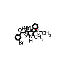 CCOC(=O)C1=C(C)Nc2sc(C(=O)c3cccc(Br)c3)c(N)c2C1(C)c1ccccc1